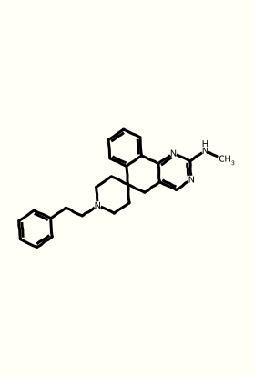 CNc1ncc2c(n1)-c1ccccc1C1(CCN(CCc3ccccc3)CC1)C2